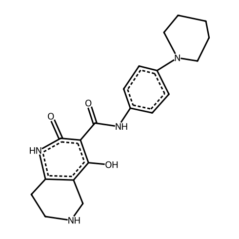 O=C(Nc1ccc(N2CCCCC2)cc1)c1c(O)c2c([nH]c1=O)CCNC2